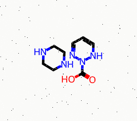 C1CNCCN1.O=C(O)N1N=CC=CN1